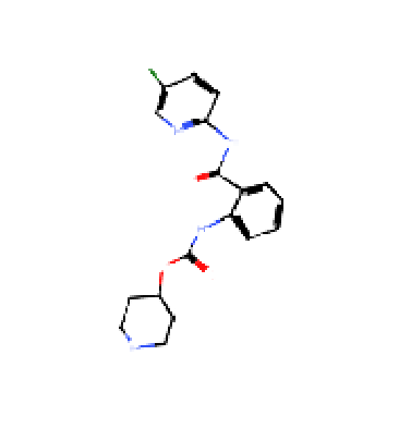 O=C(Nc1ccccc1C(=O)Nc1ccc(Cl)cn1)OC1CCNCC1